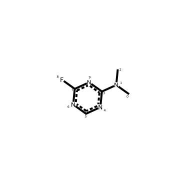 CN(C)c1ncnc(F)n1